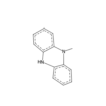 CN1c2c[c]ccc2Nc2ccccc21